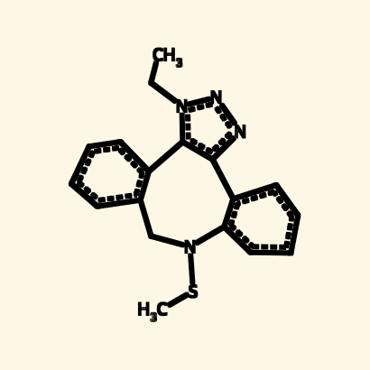 CCn1nnc2c1-c1ccccc1CN(SC)c1ccccc1-2